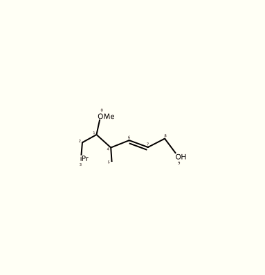 COC(CC(C)C)C(C)C=CCO